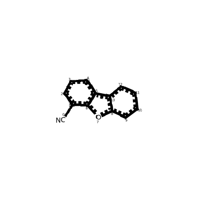 N#Cc1cc[c]c2c1oc1ccccc12